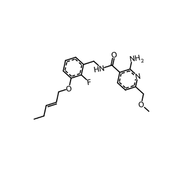 CC/C=C/COc1cccc(CNC(=O)c2ccc(COC)nc2N)c1F